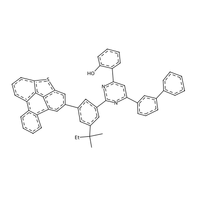 CCC(C)(C)c1cc(-c2cc3sc4cccc5c6ccccc6c(c2)c3c45)cc(-c2nc(-c3cccc(-c4ccccc4)c3)cc(-c3ccccc3O)n2)c1